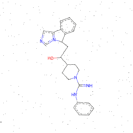 N=C(Nc1ccccc1)N1CCC(C(O)CC2c3ccccc3-c3cncn32)CC1